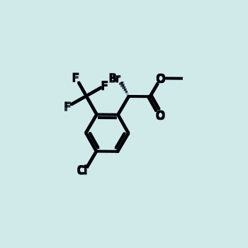 COC(=O)[C@@H](Br)c1ccc(Cl)cc1C(F)(F)F